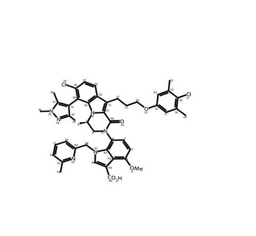 COc1ccc(N2C[C@@H](C)n3c(c(CCCOc4cc(C)c(Cl)c(C)c4)c4ccc(Cl)c(-c5c(C)nn(C)c5C)c43)C2=O)c2c1c(C(=O)O)cn2Cc1cccc(C)n1